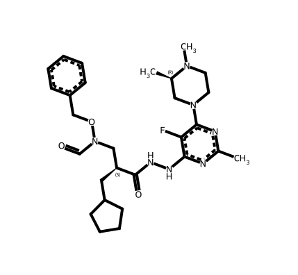 Cc1nc(NNC(=O)[C@@H](CC2CCCC2)CN(C=O)OCc2ccccc2)c(F)c(N2CCN(C)[C@H](C)C2)n1